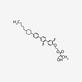 C=C(CO)C(=O)OCCOc1ccc(-c2ccc(-c3ccc(C4CCC(CCCCC)CC4)cc3)cc2F)cc1F